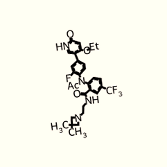 CCOc1cc(=O)[nH]cc1-c1ccc(N(C(C)=O)c2ccc(C(F)(F)F)cc2C(=O)NCCN2CC(C)(C)C2)c(F)c1